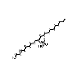 CCCCCCCCCCCCCCCCCCNCCO.CS(=O)(=O)O